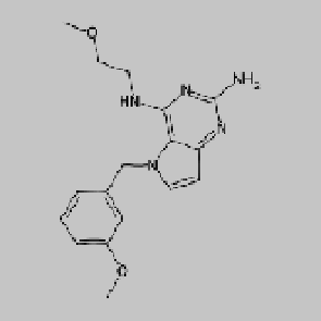 COCCNc1nc(N)nc2ccn(Cc3cccc(OC)c3)c12